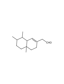 CC1CCC2(C)CCC(CC=O)=CC2C1C